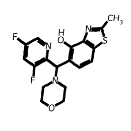 Cc1nc2c(O)c(C(c3ncc(F)cc3F)N3CCOCC3)ccc2s1